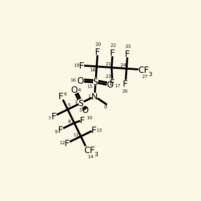 CN(S(=O)(=O)C(F)(F)C(F)(F)C(F)(F)C(F)(F)F)S(=O)(=O)C(F)(F)C(F)(F)C(F)(F)C(F)(F)F